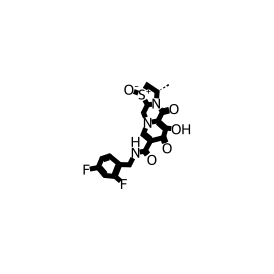 C[C@H]1C[S+]([O-])C2Cn3cc(C(=O)NCc4ccc(F)cc4F)c(=O)c(O)c3C(=O)N21